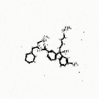 CNC[C@H](CC1CCCCC1)NC(=O)c1cccc([C@](O)(CCCCOC)c2cccc(C)c2)c1